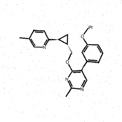 Cc1ccc([C@H]2C[C@@H]2COc2nc(C)ncc2-c2cccc(OC(C)C)c2)nc1